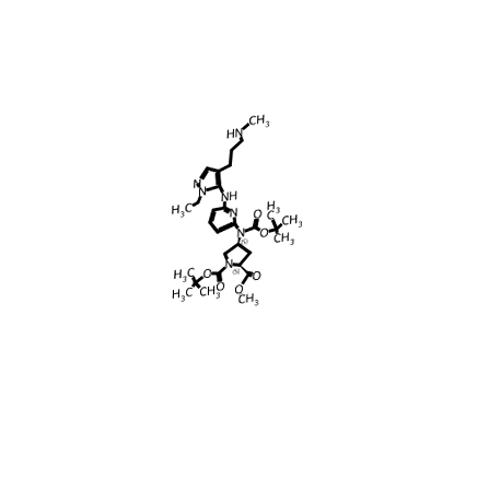 CCn1ncc(CCCNC)c1Nc1cccc(N(C(=O)OC(C)(C)C)[C@H]2C[C@@H](C(=O)OC)N(C(=O)OC(C)(C)C)C2)n1